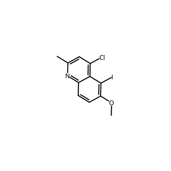 COc1ccc2nc(C)cc(Cl)c2c1I